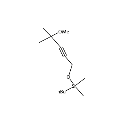 CCCC[Si](C)(C)OCC#CC(C)(C)OC